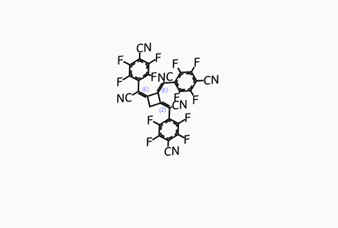 N#C/C(=C1/CC(=C(\C#N)c2c(F)c(F)c(C#N)c(F)c2F)/C1=C(\C#N)c1c(F)c(F)c(C#N)c(F)c1F)c1c(F)c(F)c(C#N)c(F)c1F